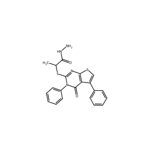 CC(Sc1nc2scc(-c3ccccc3)c2c(=O)n1-c1ccccc1)C(=O)NN